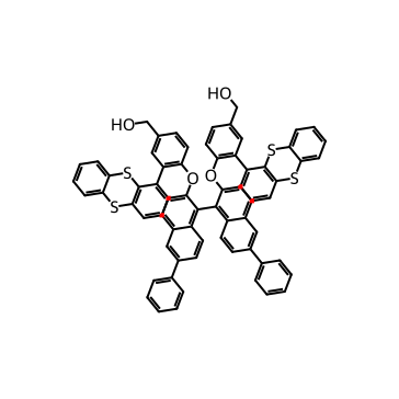 OCc1ccc(Oc2ccc3cc(-c4ccccc4)ccc3c2-c2c(Oc3ccc(CO)cc3-c3cccc4c3Sc3ccccc3S4)ccc3cc(-c4ccccc4)ccc23)c(-c2cccc3c2Sc2ccccc2S3)c1